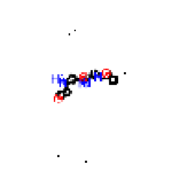 c1ccc2c(CN3CCC[C@@H](c4nnc(-c5ccc6[nH]nc(-c7ccc8coccc7-8)c6c5)o4)C3)occ2c1